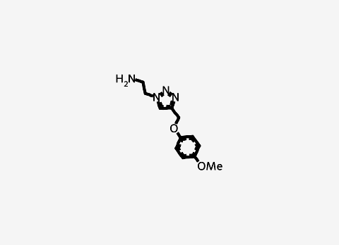 COc1ccc(OCc2cn(CCN)nn2)cc1